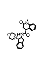 CN1C(=O)C[C@H](C(=O)N[C@H]2Cc3ccccc3[C@@H]2N2CCOCC2)c2ccccc21